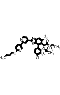 CCCCOc1ccc(-c2cc(-c3nc4cc(C)c([C@H](OC(C)(C)C)C(=O)OCC)c(-c5ccc(Cl)cc5)c4s3)ccn2)cn1